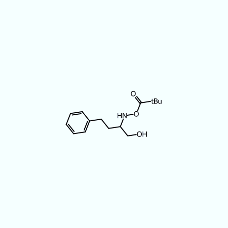 CC(C)(C)C(=O)ONC(CO)CCc1ccccc1